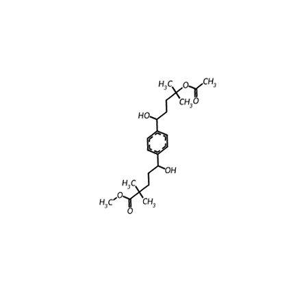 COC(=O)C(C)(C)CCC(O)c1ccc(C(O)CCC(C)(C)OC(C)=O)cc1